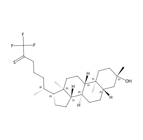 C[C@H](CCCC(=S)C(F)(F)F)[C@H]1CC[C@H]2[C@@H]3CC[C@H]4C[C@@](C)(O)CC[C@]4(C)[C@H]3CC[C@]12C